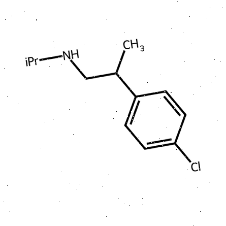 CC(C)NCC(C)c1ccc(Cl)cc1